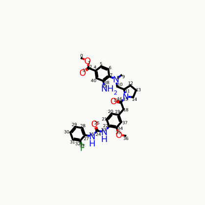 COC(=O)c1ccc(N(C)CC2CCCN2C(=O)Cc2ccc(NC(=O)Nc3ccccc3F)c(OC)c2)c(N)c1